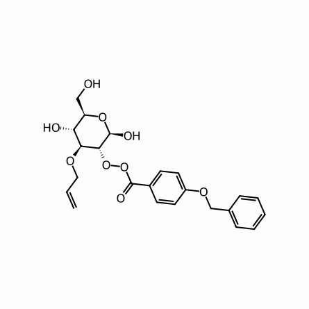 C=CCO[C@H]1[C@H](O)[C@@H](CO)O[C@@H](O)[C@@H]1OOC(=O)c1ccc(OCc2ccccc2)cc1